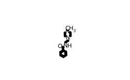 CN1CCN(CCNC(=O)c2cc[c]cc2)CC1